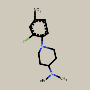 CCCN(C)C1CCN(c2ccc([N+](=O)[O-])cc2F)CC1